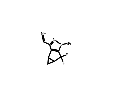 CC(C)n1nc(C=N)c2c1C(F)(F)C1CC21